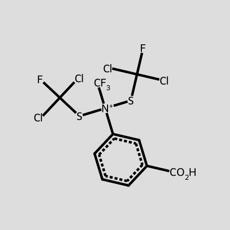 O=C(O)c1cccc([N+](SC(F)(Cl)Cl)(SC(F)(Cl)Cl)C(F)(F)F)c1